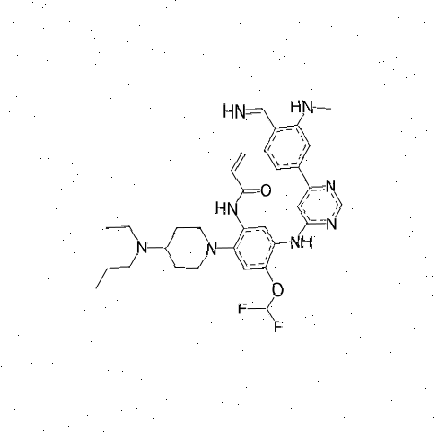 C=CC(=O)Nc1cc(Nc2cc(-c3ccc(C=N)c(NC)c3)ncn2)c(OC(F)F)cc1N1CCC(N(CC)CCC)CC1